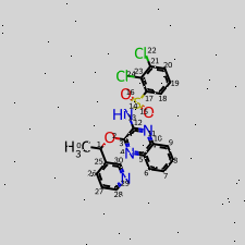 CC(Oc1nc2ccccc2nc1NS(=O)(=O)c1cccc(Cl)c1Cl)c1cccnc1